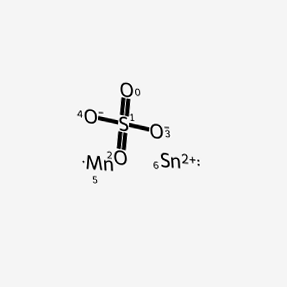 O=S(=O)([O-])[O-].[Mn].[Sn+2]